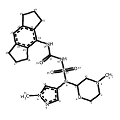 CN1CCOC(N(c2cnn(C)c2)S(=O)(=O)NC(=O)Nc2c3c(cc4c2CCC4)CCC3)C1